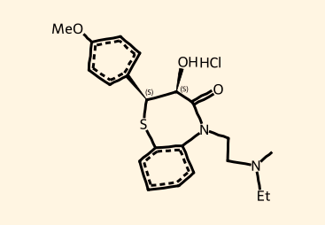 CCN(C)CCN1C(=O)[C@H](O)[C@H](c2ccc(OC)cc2)Sc2ccccc21.Cl